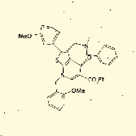 CCOC(=O)c1cn(Cc2ccccc2OC)c2sc(-c3cccc(OC)c3)c(CN(C)Cc3ccccc3)c2c1=O